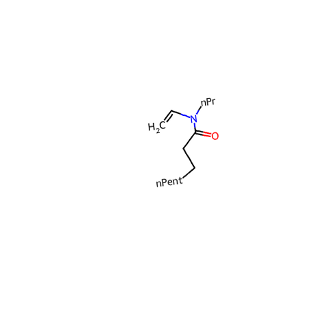 C=CN(CCC)C(=O)CCCCCCC